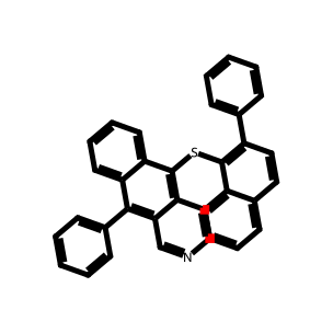 c1ccc(-c2ccc3ccccc3c2Sc2c3ccccc3c(-c3ccccc3)c3cnccc23)cc1